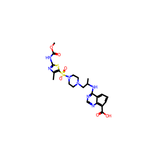 COC(=O)Nc1nc(C)c(S(=O)(=O)N2CCN(CC(C)Nc3ncnc4c(C(=O)O)cccc34)CC2)s1